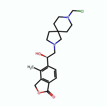 Cc1c([C@@H](O)CN2CCC3(CCN(CCl)CC3)C2)ccc2c1COC2=O